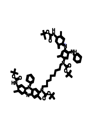 C=C1C=C(NC(=O)OC(C)(C)C)C(C)=C/C1=N/c1cc(C)c(N(CCCCCCCCCN(C(=O)OC(C)(C)C)c2cc3c(cc2C)N=C2C=C(C)C(NC(=O)OC(C)(C)C)=CC2N3c2ccccc2)C(=O)OC(C)(C)C)cc1Nc1ccccc1